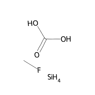 CF.O=C(O)O.[SiH4]